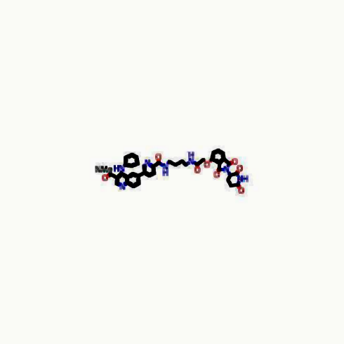 CNC(=O)c1cnc2ccc(-c3ccc(C(=O)NCCCCNC(=O)COc4cccc5c4C(=O)N(C4CCC(=O)NC4=O)C5=O)nc3)cc2c1Nc1ccccc1